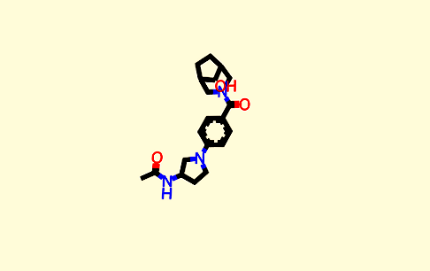 CC(=O)NC1CCN(c2ccc(C(=O)N3CC4CCC(C3)C4O)cc2)C1